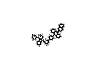 c1cncc(C2=NCCc3c2c2ccccc2n3-c2cccc(-c3ccc(-c4c5ccccc5c(-c5ccc6ccccc6c5)c5ccccc45)cc3)n2)c1